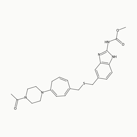 COC(=O)Nc1nc2cc(CSCC3=CC=C(N4CCN(C(C)=O)CC4)CC=C3)ccc2[nH]1